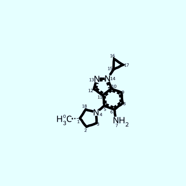 C[C@H]1CCN(c2c(N)ccc3c2cnn3C2CC2)C1